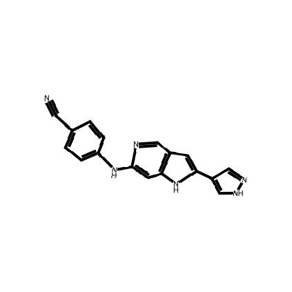 N#Cc1ccc(Nc2cc3[nH]c(-c4cn[nH]c4)cc3cn2)cc1